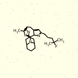 CC1=CCC2=CC(CCCC(C)(C)F)=NC2C(N2C3CCCC2CC(N=O)C3)=N1